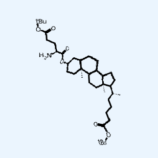 C[C@H](CCCCC(=O)OC(C)(C)C)C1CCC2C3CCC4C[C@H](OC(=O)[C@@H](N)CCC(=O)OC(C)(C)C)CC[C@]4(C)C3CC[C@@]21C